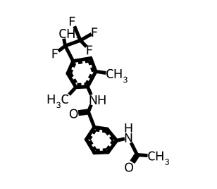 CC(=O)Nc1cccc(C(=O)Nc2c(C)cc(C(C)(F)C(F)(F)F)cc2C)c1